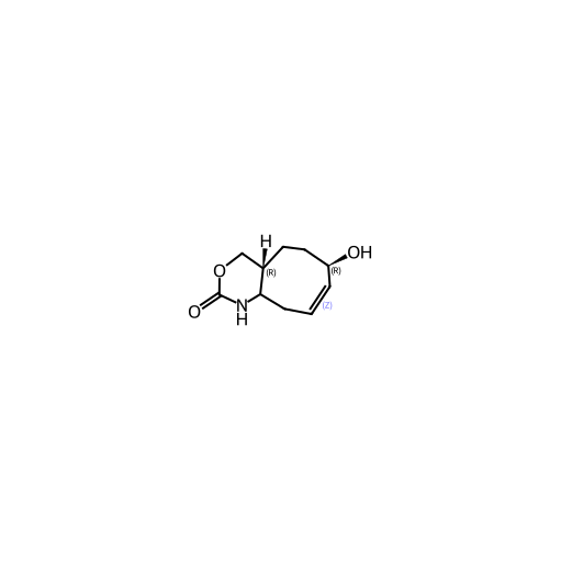 O=C1NC2C/C=C\[C@H](O)CC[C@H]2CO1